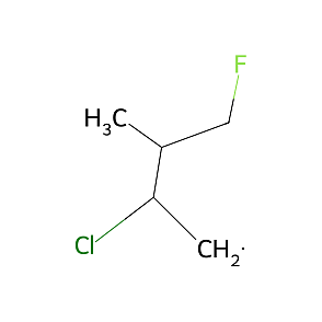 [CH2]C(Cl)C(C)CF